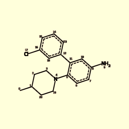 CC1CCN(c2ccc(N)cc2-c2[c]ccc(Cl)c2)CC1